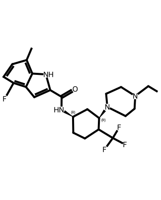 CCN1CCN([C@@H]2C[C@H](NC(=O)c3cc4c(F)ccc(C)c4[nH]3)CCC2C(F)(F)F)CC1